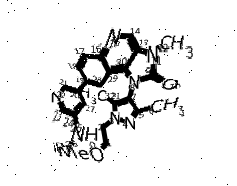 COCCn1nc(C)c(-n2c(=O)n(C)c3cnc4ccc(-c5cncc(NC(C)C)c5)cc4c32)c1C